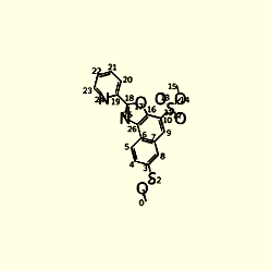 COSc1ccc2c(c1)cc(S(=O)(=O)OC)c1oc(-c3ccccn3)nc12